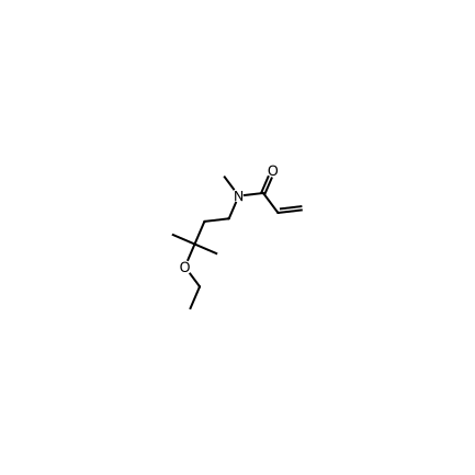 C=CC(=O)N(C)CCC(C)(C)OCC